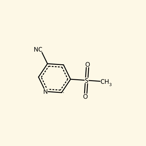 CS(=O)(=O)c1[c]ncc(C#N)c1